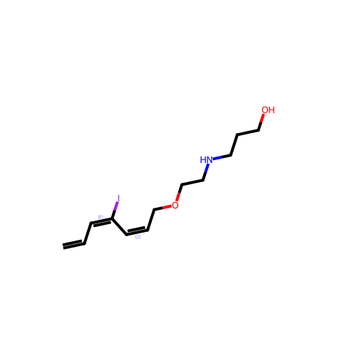 C=C/C=C(I)\C=C/COCCNCCCO